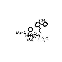 COC[C@@H](NC(=O)[C@@H](NC(=O)[C@H](CCCc1cccc(C)c1-c1ccccc1)CC(=O)O)C(C)(C)C)c1ccccc1